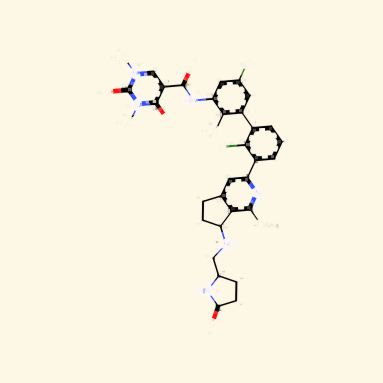 COc1nc(-c2cccc(-c3cc(Cl)cc(NC(=O)c4cn(C)c(=O)n(C)c4=O)c3C)c2Cl)cc2c1C(NCC1CCC(=O)N1)CC2